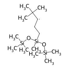 CC(C)(C)[CH]CC[Si](C)(O[Si](C)(C)C)O[Si](C)(C)C